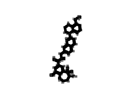 CCOc1ccnc2c1OCCN2c1ccc2cnc(CNC(=O)c3cc(Cl)c4c(c3)S(=O)(=O)[C@@H](F)CCO4)cc2n1